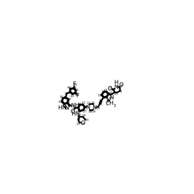 Cn1nc(C2CCC(=O)NC2=O)c2cccc(C#CCN3CCN(c4ccc(C(=O)Nc5n[nH]c6ccc(Cc7cc(F)cc(F)c7)cc56)c(NC5CCOCC5)c4)CC3)c21